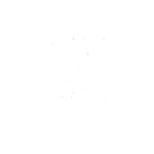 CCCSP(=O)(OCC)SCc1cc(Cl)nc(C(C)C)n1